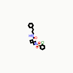 O=C(NCCCc1ccccc1)[C@H]1CCC12CN(S(=O)(=O)c1ccccc1Cl)C2